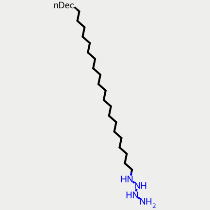 CCCCCCCCCCCCCCCCCCCCCCCCCCCCCCCNNNN